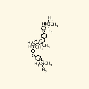 CC(C)(C)CN1CCC(O[C@H]2C[C@H](NC(C)(C)CCC(C)(C)Cc3ccc(N4CC[C@H](NC(C)(C)C)C4)cc3)C2)CC1